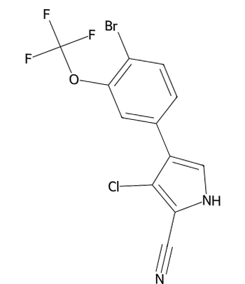 N#Cc1[nH]cc(-c2ccc(Br)c(OC(F)(F)F)c2)c1Cl